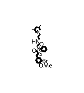 COc1ccc(C=C2Sc3ccccc3N(CC(=O)NCCCN3C[C@H](C)C[C@H](C)C3)C2=O)cc1Br